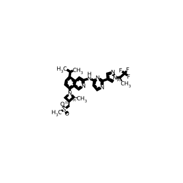 CC(C)c1ccc(N2C[C@H](CS(C)(=O)=O)[C@H]2C)c2cnc(Nc3ccnc(-c4cnn([C@H](C)C(F)(F)F)c4)n3)cc12